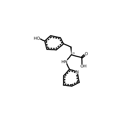 O=C(O)[C@H](Cc1ccc(O)cc1)Nc1ccccn1